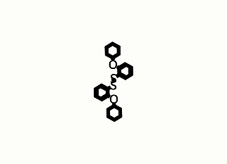 c1ccc(SSc2ccccc2OC2CCCCC2)c(OC2CCCCC2)c1